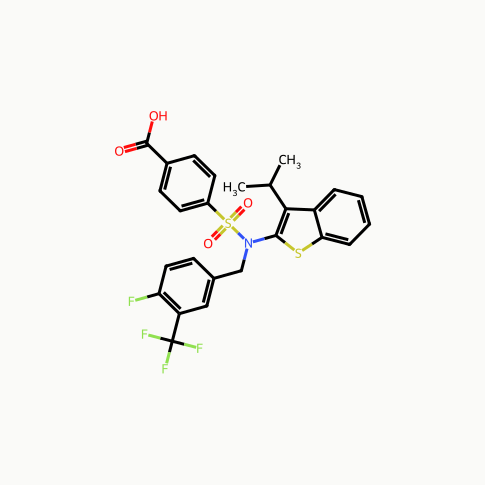 CC(C)c1c(N(Cc2ccc(F)c(C(F)(F)F)c2)S(=O)(=O)c2ccc(C(=O)O)cc2)sc2ccccc12